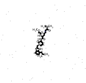 COCC(=O)NC(CC/C=C/C(=O)N(C)C)C(=O)Nc1cccn(Cc2nc3cccc(CC(C)C)c3[nH]2)c1=O